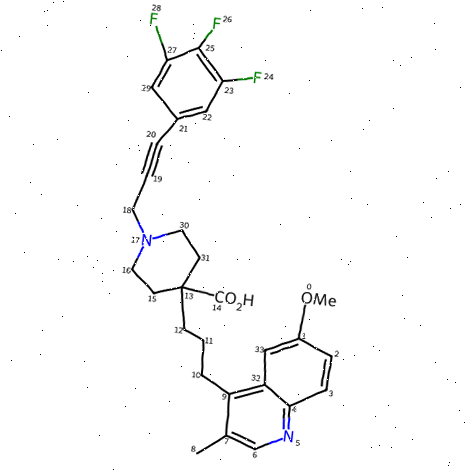 COc1ccc2ncc(C)c(CCCC3(C(=O)O)CCN(CC#Cc4cc(F)c(F)c(F)c4)CC3)c2c1